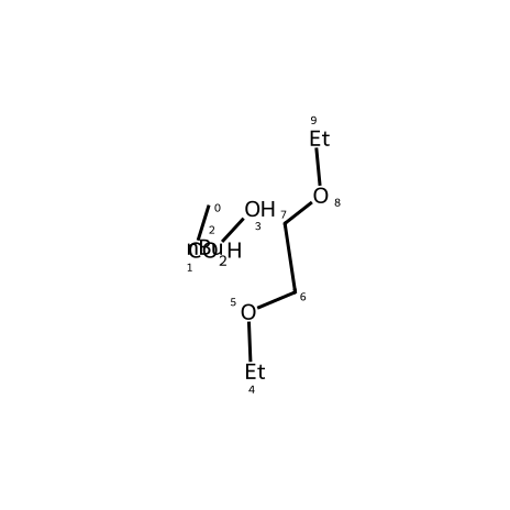 CC(=O)O.CCCCO.CCOCCOCC